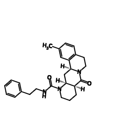 Cc1ccc2c(c1)[C@@H]1C[C@H]3[C@H](CCCN3C(=O)NCCc3ccccc3)C(=O)N1CC2